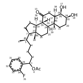 CC(=O)OC(CCC[C@@H](C)[C@H]1CC[C@H]2[C@@H]3C(=O)C[C@H]4[C@@H](O)[C@@H](O)CC[C@]4(C)[C@H]3CC[C@]12C)c1ccccc1F